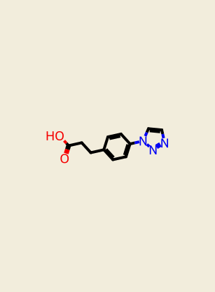 O=C(O)CCc1ccc(-n2ccnn2)cc1